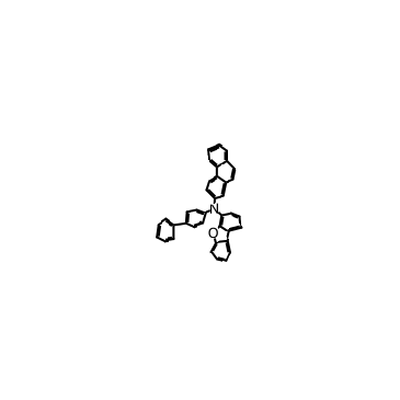 c1ccc(-c2ccc(N(c3ccc4c(ccc5ccccc54)c3)c3cccc4c3oc3ccccc34)cc2)cc1